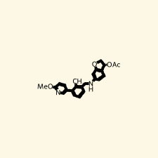 COc1ccc(-c2cccc(CNc3ccc4c(c3)OC[C@H]4OC(C)=O)c2C)cn1